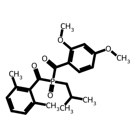 COc1ccc(C(=O)P(=O)(CC(C)C)C(=O)c2c(C)cccc2C)c(OC)c1